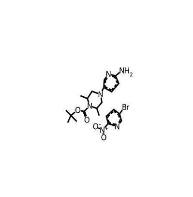 CC1CN(c2ccc(N)nc2)CC(C)N1C(=O)OC(C)(C)C.O=[N+]([O-])c1ccc(Br)cn1